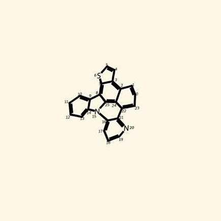 c1cc2c3ccsc3c3c4ccccc4n4c5cccnc5c(c1)c2c34